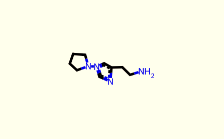 NCCc1cn(N2CCCC2)cn1